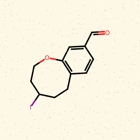 O=Cc1ccc2c(c1)OCCC(I)CC2